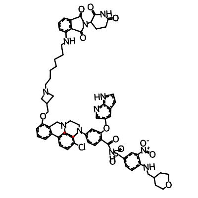 O=C1CCC(N2C(=O)c3cccc(NCCCCCCCN4CC(COc5cccc(-c6ccc(Cl)cc6)c5CN5CCN(c6ccc(C(=O)NS(=O)(=O)c7ccc(NCC8CCOCC8)c([N+](=O)[O-])c7)c(Oc7cnc8[nH]ccc8c7)c6)CC5)C4)c3C2=O)C(=O)N1